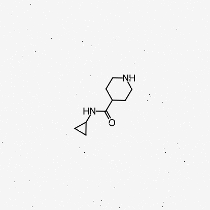 O=C(NC1CC1)C1CCNCC1